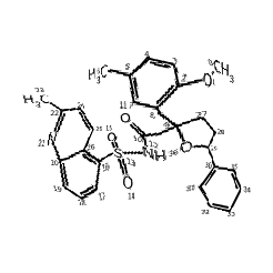 COc1ccc(C)cc1C1(C(=O)NS(=O)(=O)c2cccc3nc(C)ccc23)CCC(c2ccccc2)O1